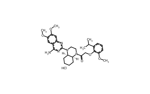 COc1cc2nc(N3CCN(C(=O)COc4c(OC)cccc4C(C)C)[C@H]4CCCC[C@H]43)nc(N)c2cc1OC.Cl